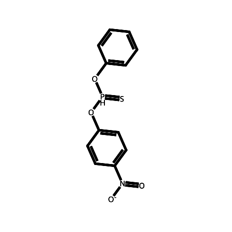 O=[N+]([O-])c1ccc(O[PH](=S)Oc2ccccc2)cc1